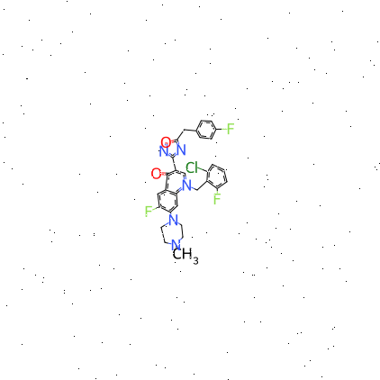 CN1CCN(c2cc3c(cc2F)c(=O)c(-c2noc(Cc4ccc(F)cc4)n2)cn3Cc2c(F)cccc2Cl)CC1